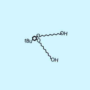 CC(C)(C)c1ccc(OCCCCCCCCCCCO)c(OCCCCCCCCCCCO)c1